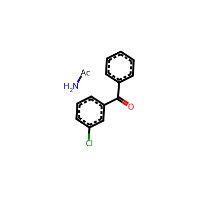 CC(N)=O.O=C(c1ccccc1)c1cccc(Cl)c1